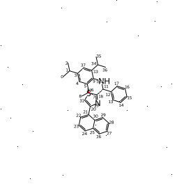 CC(C)c1cc(C(C)C)c(NC(c2ccccc2)c2nc(-c3cccc4ccccc34)cs2)c(C(C)C)c1